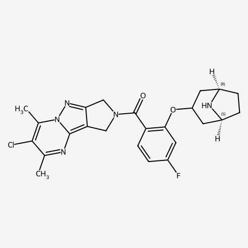 Cc1nc2c3c(nn2c(C)c1Cl)CN(C(=O)c1ccc(F)cc1OC1C[C@H]2CC[C@@H](C1)N2)C3